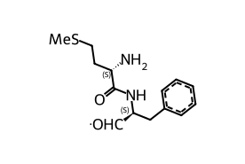 CSCC[C@H](N)C(=O)N[C@H]([C]=O)Cc1ccccc1